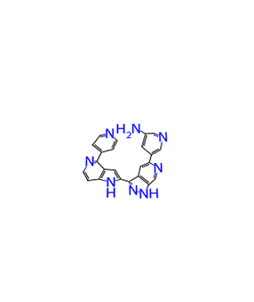 Nc1cncc(-c2cc3c(-c4cc5c(-c6ccncc6)nccc5[nH]4)n[nH]c3cn2)c1